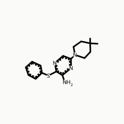 CC1(C)CCN(c2cnc(Sc3ccccc3)c(N)n2)CC1